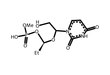 CC[C@H](OC(CO)n1ccc(=O)[nH]c1=O)OP(=O)(O)OC